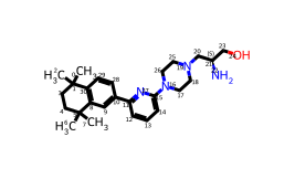 CC1(C)CCC(C)(C)c2cc(-c3cccc(N4CCN(C[C@H](N)CO)CC4)n3)ccc21